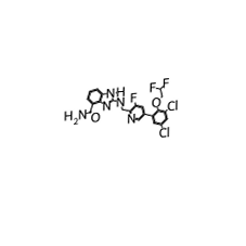 NC(=O)c1cccc2c1N=C(NCc1ncc(-c3cc(Cl)cc(Cl)c3OCC(F)F)cc1F)[N]2